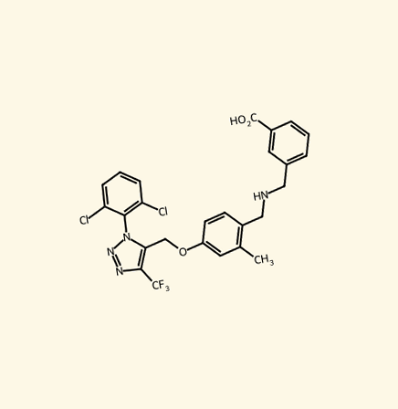 Cc1cc(OCc2c(C(F)(F)F)nnn2-c2c(Cl)cccc2Cl)ccc1CNCc1cccc(C(=O)O)c1